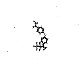 CNC(=O)c1ccc(Oc2ccc(C3(C(F)(F)C(F)(F)F)CC3)cc2)cc1